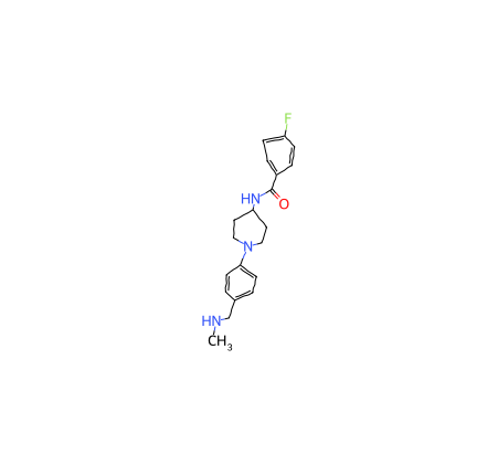 CNCc1ccc(N2CCC(NC(=O)c3ccc(F)cc3)CC2)cc1